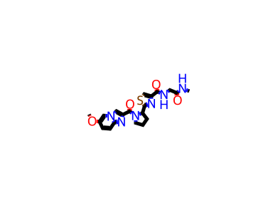 CNC(=O)CNC(=O)c1csc(C2CCCN2C(=O)c2cn3cc(OC)ccc3n2)n1